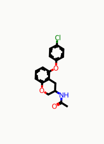 CC(=O)NC1COc2cccc(Oc3ccc(Cl)cc3)c2C1